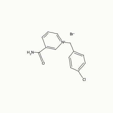 NC(=O)c1ccc[n+](Cc2ccc(Cl)cc2)c1.[Br-]